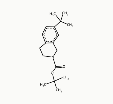 CC(C)(C)OC(=O)N1CCc2ccc(C(C)(C)C)cc2C1